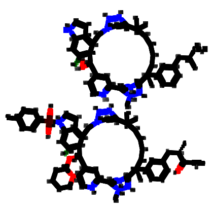 COC(=O)[C@@H](C)Cc1cccc([C@@]2(C)CCCCC(C)(C)c3cn(nn3)Cc3c(c(F)cc4c3ccn4S(=O)(=O)c3ccc(C)cc3)C(OC3CCCCO3)c3ccnc(c3)-c3nc2nn3C)c1.C[C@@H](Cc1cccc([C@@]2(C)CCCCC(C)(C)c3cn(nn3)Cc3c(c(F)cc4[nH]ccc34)C(O)c3ccnc(c3)-c3nc2nn3C)c1)C(=O)O